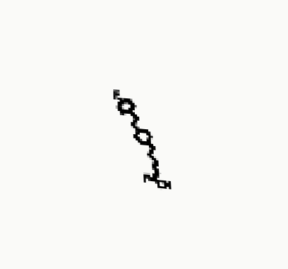 N#CC(F)=CC=CCCC1CCC(CCc2ccc(F)cc2)CC1